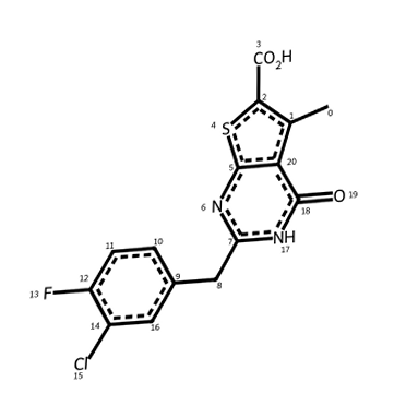 Cc1c(C(=O)O)sc2nc(Cc3ccc(F)c(Cl)c3)[nH]c(=O)c12